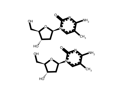 Cc1cn([C@H]2C[C@H](O)[C@@H](CO)O2)c(=O)nc1N.Cc1cn([C@H]2C[C@H](O)[C@@H](CO)O2)c(=O)nc1N